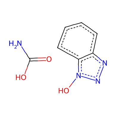 NC(=O)O.On1nnc2ccccc21